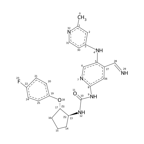 Cc1cc(Nc2cnc(NC(=O)N[C@H]3CCC[C@@H]3Oc3ccc(F)cc3)cc2C=N)ccn1